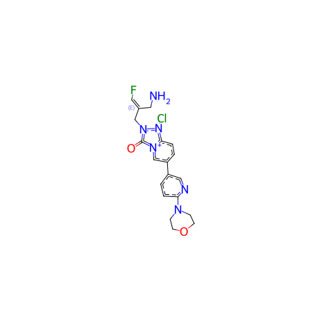 NC/C(=C\F)Cn1c(=O)[n+]2cc(-c3ccc(N4CCOCC4)nc3)ccc2n1Cl